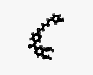 Nc1ccc(C(=O)c2ccc(OCCCCC3CCNC3)cc2)cc1N